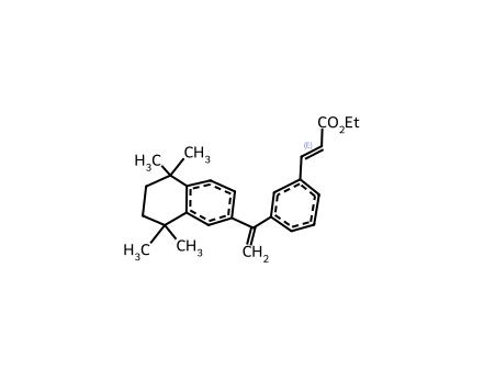 C=C(c1cccc(/C=C/C(=O)OCC)c1)c1ccc2c(c1)C(C)(C)CCC2(C)C